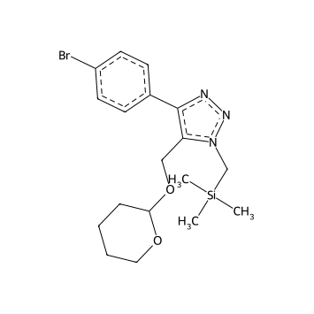 C[Si](C)(C)Cn1nnc(-c2ccc(Br)cc2)c1COC1CCCCO1